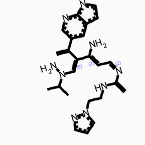 C=C(\N=C/C=C(N)/C(=C/N(N)C(C)C)C(=C)c1cnc2[nH]ccc2c1)NCCn1cccn1